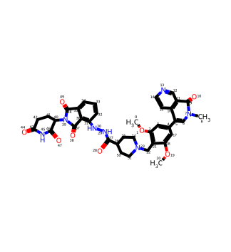 COc1cc(-c2cn(C)c(=O)c3cnccc23)cc(OC)c1CN1CCC(C(=O)NNc2cccc3c2C(=O)N(C2CCC(=O)NC2=O)C3=O)CC1